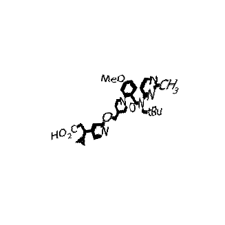 COc1ccc(C(=O)N(CC(C)(C)C)c2ccnc(C)n2)c(N2CCC(COc3cc(C(CC(=O)O)C4CC4)ccn3)CC2)c1